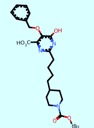 CC(C)(C)OC(=O)N1CCC(CCCCc2nc(O)c(OCc3ccccc3)c(C(=O)O)n2)CC1